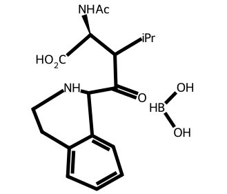 CC(=O)N[C@H](C(=O)O)C(C(=O)C1NCCc2ccccc21)C(C)C.OBO